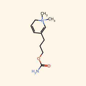 C[N+]1(C)C=C(CCCOC(N)=O)C=CC1